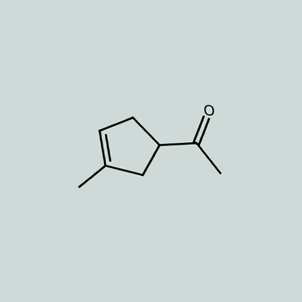 CC(=O)C1CC=C(C)C1